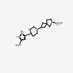 Nc1cc(C2CCN(C3CC4(CCN(C(=O)O)C4)C3)CC2)[nH]n1